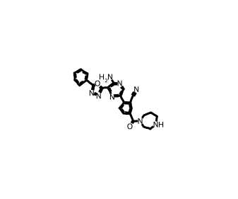 N#Cc1cc(C(=O)N2CCCNCC2)ccc1-c1cnc(N)c(-c2nnc(-c3ccccc3)o2)n1